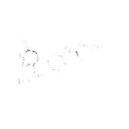 CN(C[C@H]1CC[C@H](NC(=O)OC(C)(C)C)CC1)c1ccc(Br)nn1